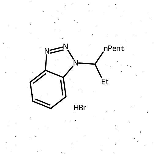 Br.CCCCCC(CC)n1nnc2ccccc21